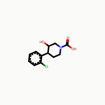 O=C(O)N1CCC(c2ccccc2Cl)C(O)C1